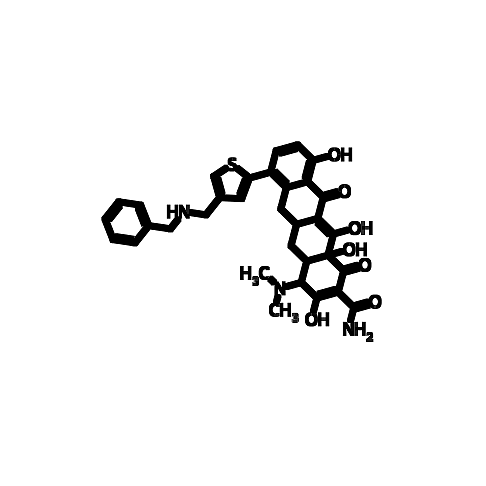 CN(C)C1C(O)=C(C(N)=O)C(=O)C2(O)C(O)=C3C(=O)c4c(O)ccc(-c5cc(CNCc6ccccc6)cs5)c4CC3CC12